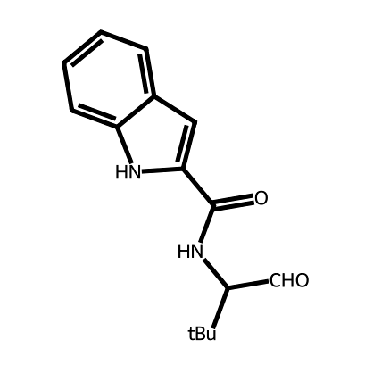 CC(C)(C)C(C=O)NC(=O)c1cc2ccccc2[nH]1